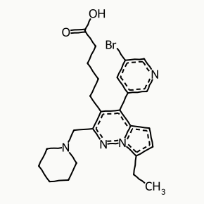 CCc1ccc2c(-c3cncc(Br)c3)c(CCCCC(=O)O)c(CN3CCCCC3)nn12